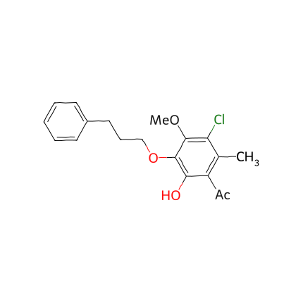 COc1c(Cl)c(C)c(C(C)=O)c(O)c1OCCCc1ccccc1